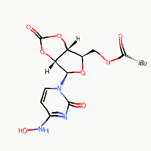 CC[C@@H](C)C(=O)OC[C@H]1O[C@@H](n2ccc(NO)nc2=O)[C@@H]2OC(=O)O[C@@H]21